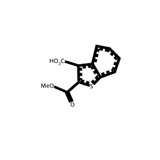 COC(=O)c1sc2ccccc2c1C(=O)O